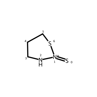 S=[N+]1NCCCS1